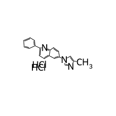 Cc1cn(-c2ccc3nc(-c4ccccc4)ccc3c2)cn1.Cl.Cl